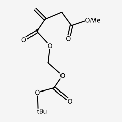 C=C(CC(=O)OC)C(=O)OCOC(=O)OC(C)(C)C